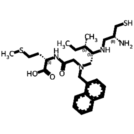 CC[C@H](C)[C@@H](CN(CC(=O)N[C@@H](CCSC)C(=O)O)Cc1cccc2ccccc12)NC[C@@H](N)CS